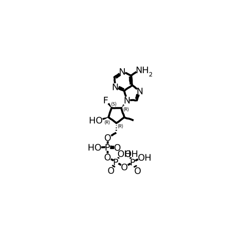 CC1[C@@H](n2cnc3c(N)ncnc32)[C@H](F)[C@H](O)[C@H]1COP(=O)(O)OP(=O)(O)OP(=O)(O)O